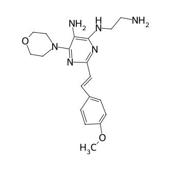 COc1ccc(/C=C/c2nc(NCCN)c(N)c(N3CCOCC3)n2)cc1